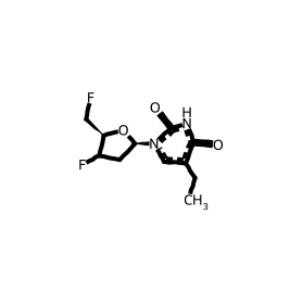 CCc1cn([C@H]2CC(F)[C@@H](CF)O2)c(=O)[nH]c1=O